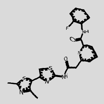 Cc1nc(C)c(-c2csc(NC(=O)Cc3cccc(C(=O)Nc4ccccc4F)n3)n2)s1